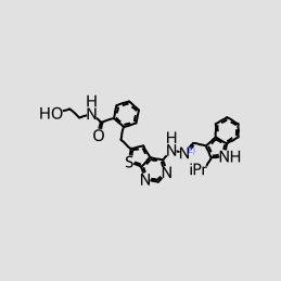 CC(C)c1[nH]c2ccccc2c1/C=N/Nc1ncnc2sc(Cc3ccccc3C(=O)NCCO)cc12